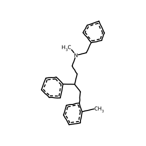 Cc1ccccc1CC(CCN(C)Cc1ccccc1)c1ccccc1